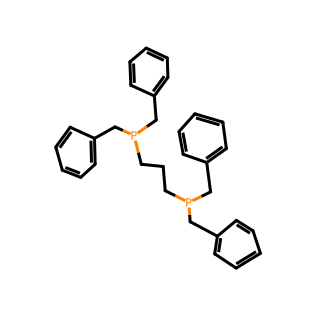 c1ccc(CP(CCCP(Cc2ccccc2)Cc2ccccc2)Cc2ccccc2)cc1